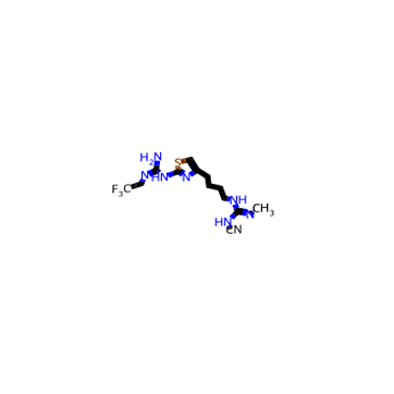 C/N=C(/NC#N)NCCCCc1csc(N/C(N)=N\CC(F)(F)F)n1